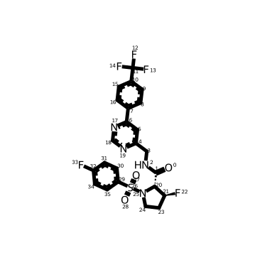 O=C(NCc1cc(-c2ccc(C(F)(F)F)cc2)ncn1)[C@@H]1[C@@H](F)CCN1S(=O)(=O)c1ccc(F)cc1